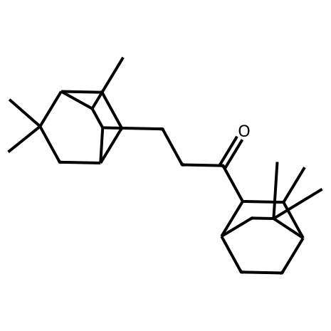 CC1C(CCC(=O)C2C3CCC(C2C)C(C)(C)C3)C2CCC1C(C)(C)C2